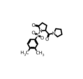 Cc1ccc(S(=O)(=O)N2C(=O)CCC2C(=O)N2CCCC2)cc1C